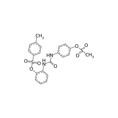 Cc1ccc(S(=O)(=O)Oc2ccccc2NC(=O)Nc2ccc(OS(C)(=O)=O)cc2)cc1